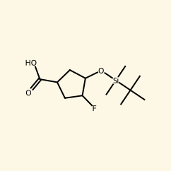 CC(C)(C)[Si](C)(C)OC1CC(C(=O)O)CC1F